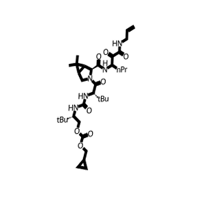 C=CCNC(=O)C(=O)C(CCC)NC(=O)[C@@H]1C2C(CN1C(=O)[C@@H](NC(=O)N[C@H](COC(=O)OCC1CC1)C(C)(C)C)C(C)(C)C)C2(C)C